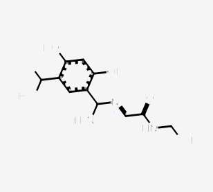 CCNC(=O)/C=N/C(N)c1cc(C(C)C)c(O)cc1O